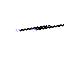 C=C.CCCCCCCCCCCCCCCCCCN.CCCCCCCCCCCCCCCCCCN